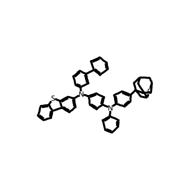 c1ccc(-c2cccc(N(c3ccc(N(c4ccccc4)c4ccc(C56CCC7CC(CC(C7)C5)C6)cc4)cc3)c3ccc4c(c3)sc3ccccc34)c2)cc1